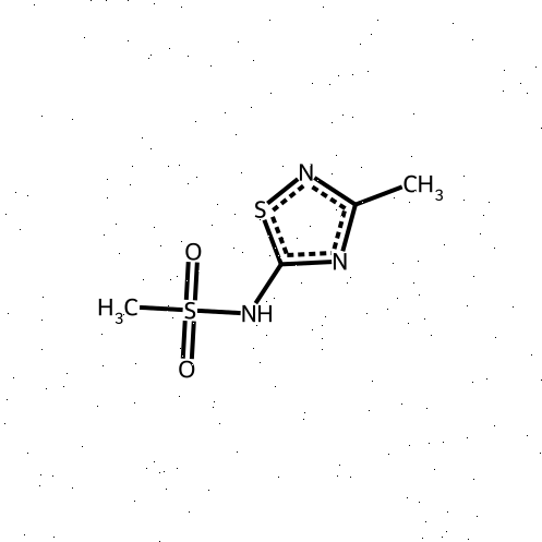 Cc1nsc(NS(C)(=O)=O)n1